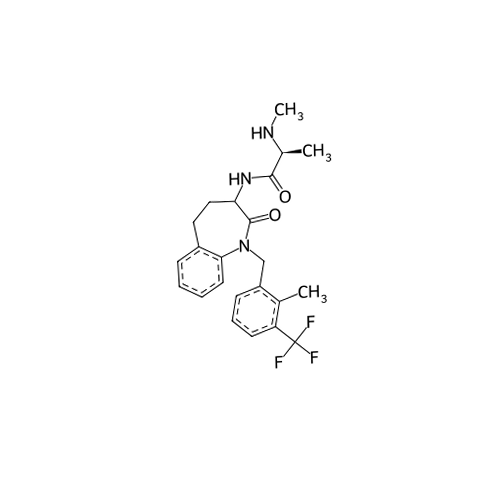 CN[C@@H](C)C(=O)NC1CCc2ccccc2N(Cc2cccc(C(F)(F)F)c2C)C1=O